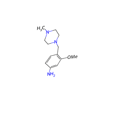 COc1cc(N)ccc1CN1CCN(C)CC1